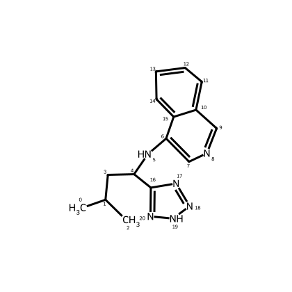 CC(C)CC(Nc1cncc2ccccc12)c1nn[nH]n1